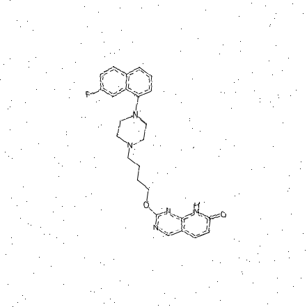 O=c1ccc2cnc(OCCCCN3CCN(c4cccc5ccc(F)cc45)CC3)nc2[nH]1